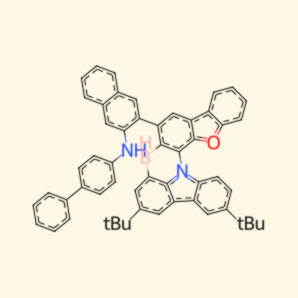 CC(C)(C)c1ccc2c(c1)c1cc(C(C)(C)C)cc3c1n2-c1c(c(-c2cc4ccccc4cc2Nc2ccc(-c4ccccc4)cc2)cc2c1oc1ccccc12)B3